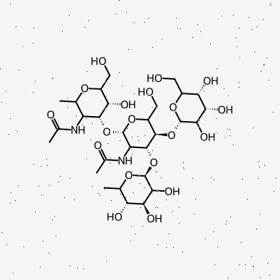 CC(=O)NC1[C@H](O[C@@H]2C(NC(C)=O)C(C)OC(CO)[C@@H]2O)OC(CO)[C@@H](O[C@@H]2OC(CO)[C@H](O)[C@H](O)C2O)[C@@H]1O[C@@H]1OC(C)[C@@H](O)[C@H](O)C1O